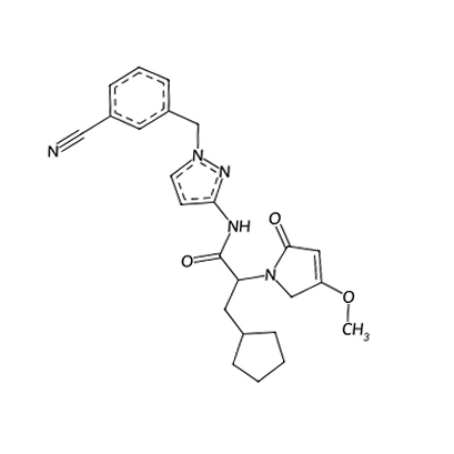 COC1=CC(=O)N(C(CC2CCCC2)C(=O)Nc2ccn(Cc3cccc(C#N)c3)n2)C1